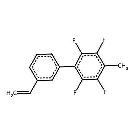 C=Cc1cccc(-c2c(F)c(F)c(C)c(F)c2F)c1